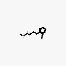 CO/N=C/CCc1ccccc1C